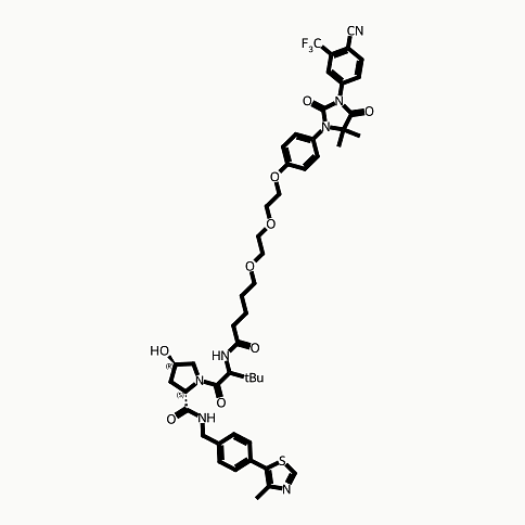 Cc1ncsc1-c1ccc(CNC(=O)[C@@H]2C[C@@H](O)CN2C(=O)C(NC(=O)CCCCOCCOCCOc2ccc(N3C(=O)N(c4ccc(C#N)c(C(F)(F)F)c4)C(=O)C3(C)C)cc2)C(C)(C)C)cc1